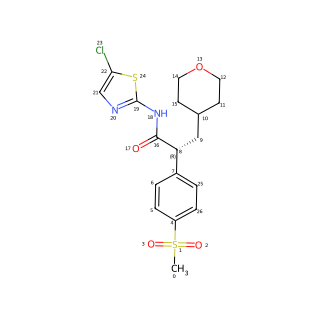 CS(=O)(=O)c1ccc([C@@H](CC2CCOCC2)C(=O)Nc2ncc(Cl)s2)cc1